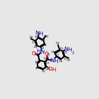 Cc1cc(NC(=O)c2cccc(O)c2C(=O)Nc2cc(C)c(N)c(C)c2)cc(C)c1N